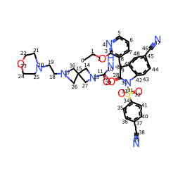 CCOc1ncccc1[C@]1(NC(=O)N2CC3(CN(CCN4CCOCC4)C3)C2)C(=O)N(S(=O)(=O)c2ccc(C#N)cc2)c2ccc(C#N)cc21